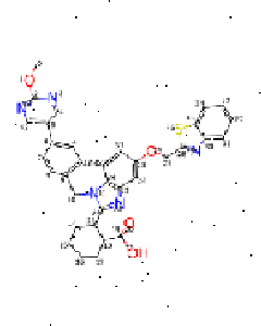 COc1ncc(-c2ccc(Cn3c(C4CCCCC4C(=O)O)nc4cc(OCc5nc6ccccc6s5)ccc43)cc2)cn1